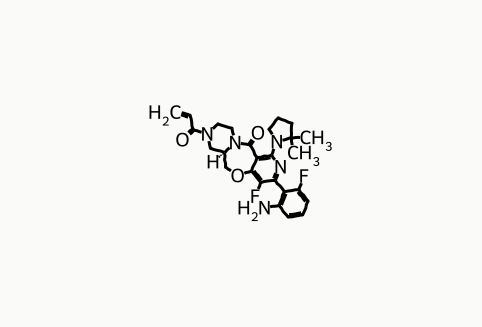 C=CC(=O)N1CCN2C(=O)c3c(N4CCCC4(C)C)nc(-c4c(N)cccc4F)c(F)c3OC[C@H]2C1